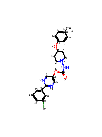 O=C(NN1CCC(Oc2ccc(C(F)(F)F)cc2)CC1)Oc1cnc(-c2cccc(F)c2)nc1